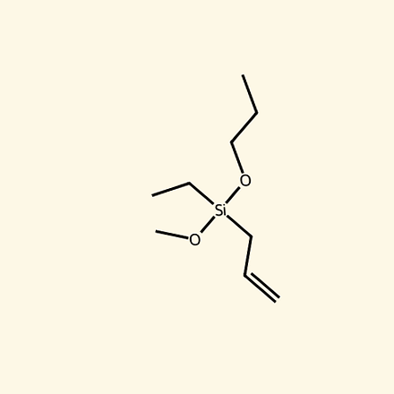 C=CC[Si](CC)(OC)OCCC